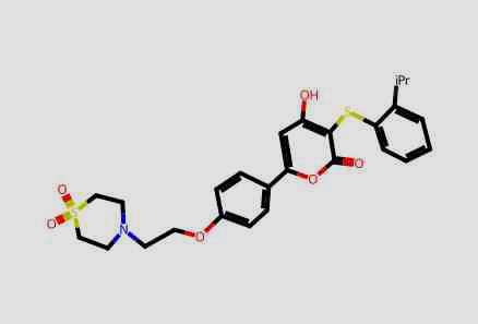 CC(C)c1ccccc1Sc1c(O)cc(-c2ccc(OCCN3CCS(=O)(=O)CC3)cc2)oc1=O